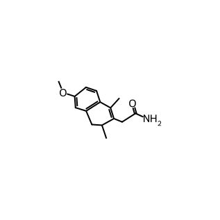 COc1ccc2c(c1)CC(C)C(CC(N)=O)=C2C